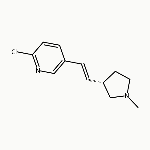 CN1CC[C@@H](C=Cc2ccc(Cl)nc2)C1